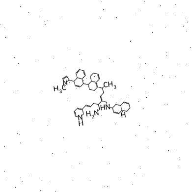 CC(C/C=C(\CNC1C=C[C@H]2CCC=CC2C1)C(CN)C/C=C/C1=CC=CNC1)C1=C2C=CCCC2C(C2C=CC(C3C=CN3C)C3C=CC=CC32)CC1